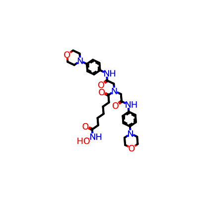 O=C(CCCCCC(=O)N(CC(=O)Nc1ccc(N2CCOCC2)cc1)CC(=O)Nc1ccc(N2CCOCC2)cc1)NO